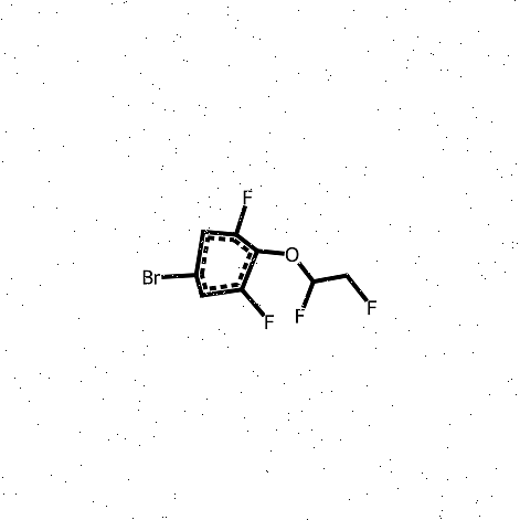 FCC(F)Oc1c(F)cc(Br)cc1F